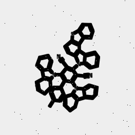 Cc1ccc(-c2c(-n3c4c(c5ccccc53)CCC=C4)c(C#N)c(-n3c4ccccc4c4c5c(ccc43)sc3ccccc35)c(C#N)c2-n2c3c(c4ccccc42)C=CCC3)cc1